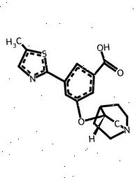 Cc1cnc(-c2cc(O[C@H]3CN4CCC3CC4)cc(C(=O)O)c2)s1